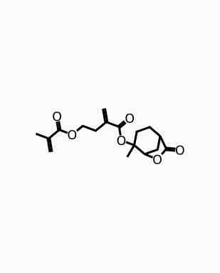 C=C(C)C(=O)OCCC(=C)C(=O)OC1(C)CCC2CC1OC2=O